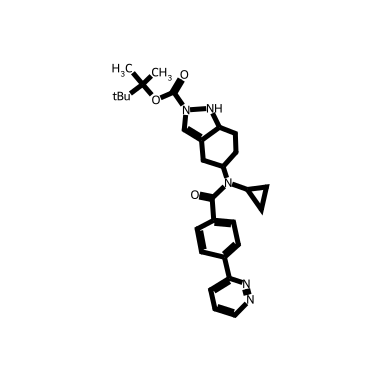 CC(C)(C)C(C)(C)OC(=O)N1C=C2CC(N(C(=O)c3ccc(-c4cccnn4)cc3)C3CC3)CCC2N1